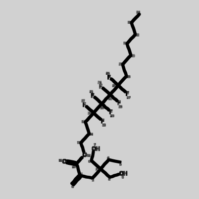 C=C(CC(CC)(CO)CO)C(=O)OCCCC(F)(F)C(F)(F)C(F)(F)C(F)(F)CCCCCCC